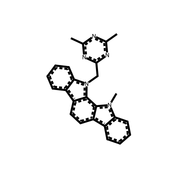 Cc1nc(C)nc(Cn2c3ccccc3c3ccc4c5ccccc5n(C)c4c32)n1